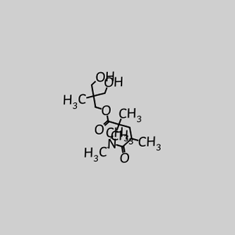 CC(CC(C)(C)C(=O)OCC(C)(CO)CO)C(=O)N(C)C